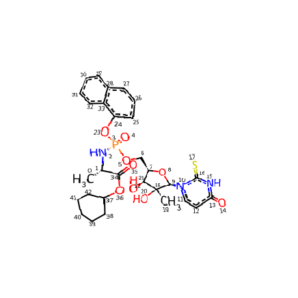 C[C@H](N[P@](=O)(OC[C@H]1O[C@@H](n2ccc(=O)[nH]c2=S)C(C)(O)[C@H]1O)Oc1cccc2ccccc12)C(=O)OC1CCCCC1